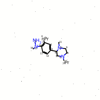 CCCc1cc(C2CN(C(C)C)CCN2C)ccc1N(C)N